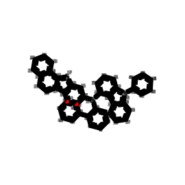 c1ccc(-c2ccccc2N(c2ccc3c(c2)sc2c4ccccc4ccc32)c2cccc3c2c2ccccc2n3-c2ccccc2)cc1